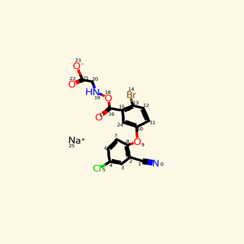 N#Cc1cc(Cl)ccc1Oc1ccc(Br)c(C(=O)ONCC(=O)[O-])c1.[Na+]